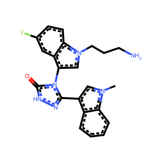 Cn1cc(-c2n[nH]c(=O)n2-c2cn(CCCN)c3ccc(F)cc23)c2ccccc21